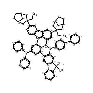 CCC1(c2ccc3c(c2)c2cc(C4(CC)CC5CCC(C5)C4)cc4c2n3-c2cc(N(c3ccccc3)c3ccccc3)cc3c2B4N(c2ccc(-c4ccccc4)cc2)c2cc4c(cc2-3)-c2ccccc2C4(C)C)CC2CCC(C2)C1